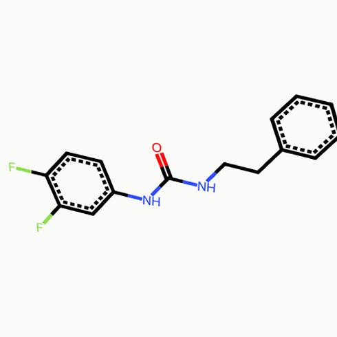 O=C(NCCc1ccccc1)Nc1ccc(F)c(F)c1